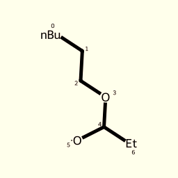 CCCCCCOC([O])CC